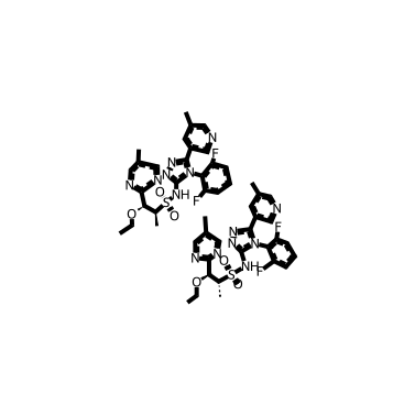 CCO[C@@H](c1ncc(C)cn1)[C@@H](C)S(=O)(=O)Nc1nnc(-c2cncc(C)c2)n1-c1c(F)cccc1F.CCO[C@H](c1ncc(C)cn1)[C@H](C)S(=O)(=O)Nc1nnc(-c2cncc(C)c2)n1-c1c(F)cccc1F